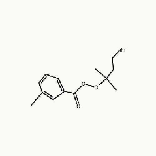 Cc1cccc(C(=O)OOC(C)(C)CCC(C)C)c1